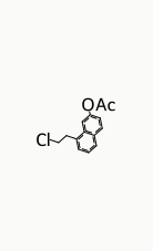 CC(=O)Oc1ccc2cccc(CCCl)c2c1